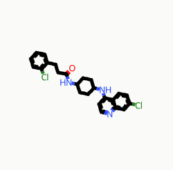 O=C(CCc1ccccc1Cl)NC1CCC(Nc2ccnc3cc(Cl)ccc23)CC1